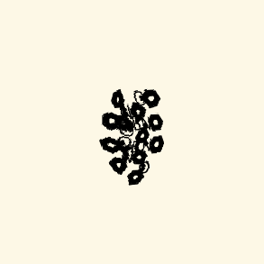 c1ccc(Oc2cc3c4c(c2)N(c2ccccc2)c2c(oc5ccccc25)B4c2cc4c(cc2N3c2ccccc2)N(c2ccccc2)c2cc(Oc3ccccc3)cc3c2B4c2oc4ccccc4c2N3c2ccccc2)cc1